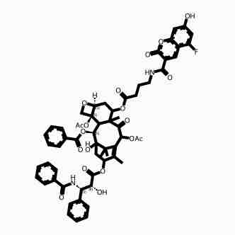 CC(=O)OC1C(=O)C2(C)C(OC(=O)CCCNC(=O)c3cc4c(F)cc(O)cc4oc3=O)C[C@@H]3OC[C@@]3(OC(C)=O)C2[C@H](OC(=O)c2ccccc2)C2(O)CC(OC(=O)[C@H](O)[C@@H](NC(=O)c3ccccc3)c3ccccc3)C(C)=C1C2(C)C